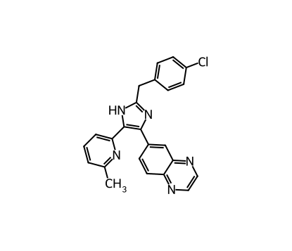 Cc1cccc(-c2[nH]c(Cc3ccc(Cl)cc3)nc2-c2ccc3nccnc3c2)n1